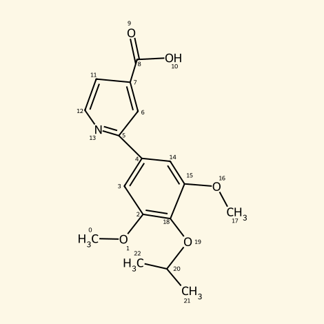 COc1cc(-c2cc(C(=O)O)ccn2)cc(OC)c1OC(C)C